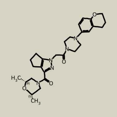 C[C@@H]1CN(C(=O)c2nn(CC(=O)N3CCN(c4ccc5c(c4)CCCO5)CC3)c3c2CCC3)C[C@H](C)O1